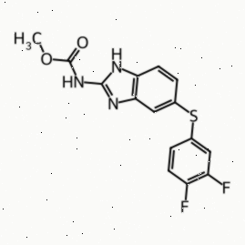 COC(=O)Nc1nc2cc(Sc3ccc(F)c(F)c3)ccc2[nH]1